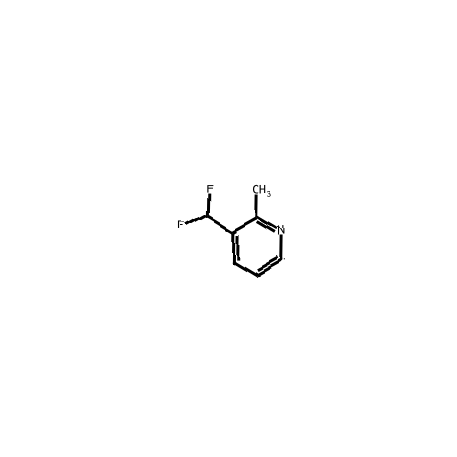 Cc1n[c]ccc1C(F)F